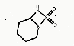 O=S1(=O)NC2CCCCN21